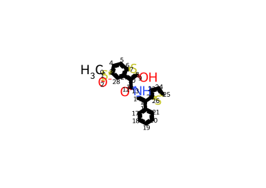 C[S+]([O-])c1ccc2sc(O)c(C(=O)NC=C(c3ccccc3)c3cccs3)c2c1